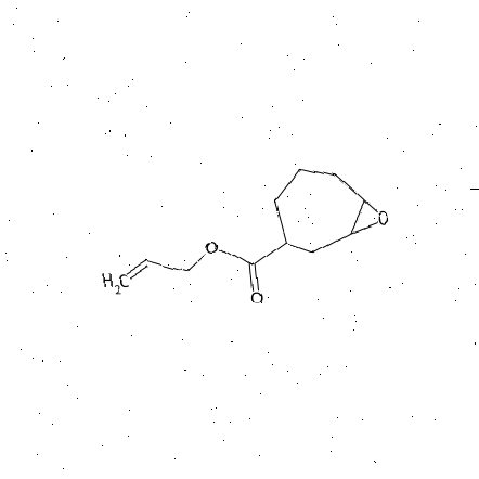 C=CCOC(=O)C1CCCC2OC2C1